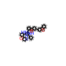 C1=Cc2oc3cccc(C4NC(c5ccccc5)NC(c5cccc6c5oc5cc(-c7ccc8oc9ccccc9c8c7)ccc56)N4)c3c2CC1